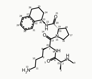 CN[C@@H](C)C(=O)N[C@@H](CCCCN)C(=O)N1CCC[C@H]1C(=O)N[C@@H]1CCCc2ccccc21